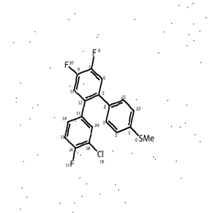 CSc1ccc(-c2cc(F)c(F)cc2-c2ccc(F)c(Cl)c2)cc1